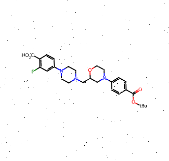 CC(C)(C)OC(=O)c1ccc(N2CCO[C@H](CN3CCN(c4ccc(C(=O)O)c(F)c4)CC3)C2)cc1